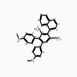 COc1ccc(-c2cc(N)c(-c3cccc4ccccc34)c(N)c2-c2ccc(OC)cc2)cc1